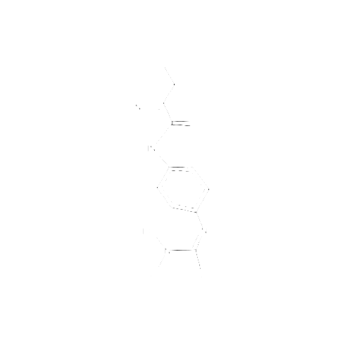 CC(=Nc1ccc(NC(=O)[C@H](N)CS)cc1)N(C)C